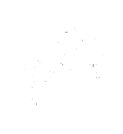 CC1C(CO)O[C@@H](n2cc([N+](=O)[O-])c3c(N)ncnc32)C1(C)C